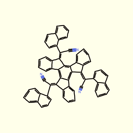 N#C/C(=C1/c2ccccc2-c2c1c1c(c3c2/C(=C(\C#N)c2cccc4ccccc24)c2ccccc2-3)/C(=C(\C#N)c2cccc3ccccc23)c2ccccc2-1)c1cccc2ccccc12